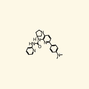 CN(C)c1ccc(-c2ccc3c(n2)N(C(=O)Nc2ccccn2)[C@H]2CCN3C2)cc1